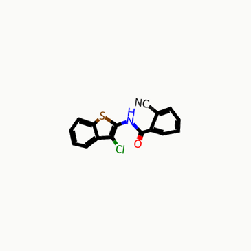 N#Cc1ccccc1C(=O)Nc1sc2ccccc2c1Cl